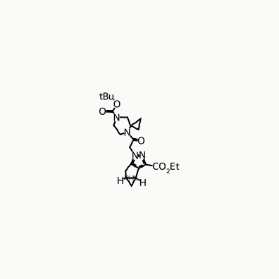 CCOC(=O)c1nn(CC(=O)N2CCN(C(=O)OC(C)(C)C)CC23CC3)c2c1[C@@H]1C[C@@H]1C2